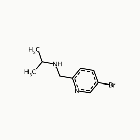 CC(C)NCc1ccc(Br)cn1